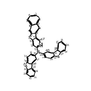 c1ccc2cc3c(cc2c1)sc1cc(N(c2ccc4oc5ccccc5c4c2)c2ccc4sc5ccccc5c4c2)ncc13